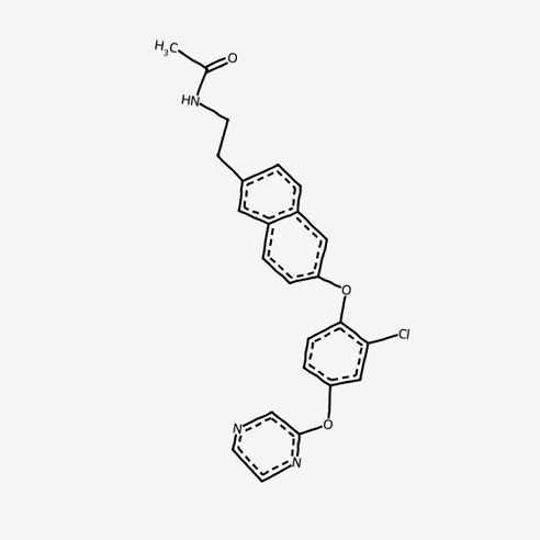 CC(=O)NCCc1ccc2cc(Oc3ccc(Oc4cnccn4)cc3Cl)ccc2c1